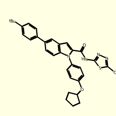 CC(C)(C)c1ccc(-c2ccc3c(c2)cc(C(=O)Nc2nnc(C(F)(F)F)s2)n3-c2ccc(OC3CCCC3)cc2)cc1